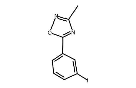 Cc1noc(-c2cccc(I)c2)n1